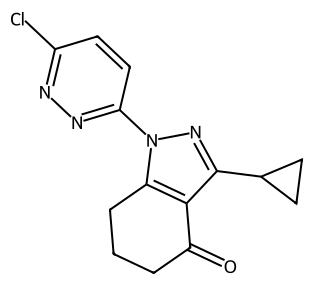 O=C1CCCc2c1c(C1CC1)nn2-c1ccc(Cl)nn1